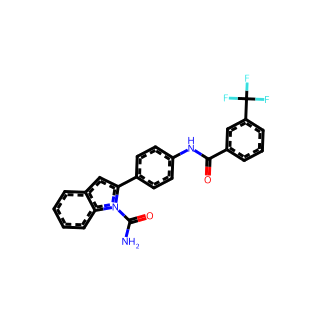 NC(=O)n1c(-c2ccc(NC(=O)c3cccc(C(F)(F)F)c3)cc2)cc2ccccc21